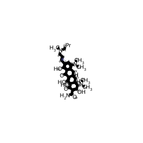 CC(C)CN(C)C/C=C/c1cc(N(C)C)c2c(c1O)C(=O)C1=C(O)[C@]3(O)C(=O)C(C(N)=O)=C(O)[C@@H](N(C)C)[C@@H]3C[C@@H]1C2